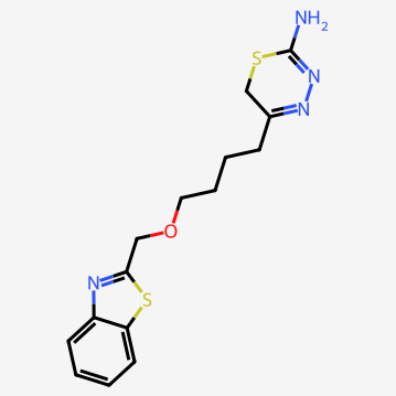 NC1=NN=C(CCCCOCc2nc3ccccc3s2)CS1